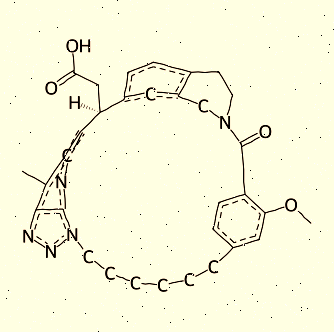 COc1cc2ccc1C(=O)N1CCc3ccc(cc3C1)[C@H](CC(=O)O)c1cnc3c(nnn3CCCCCC2)c1C